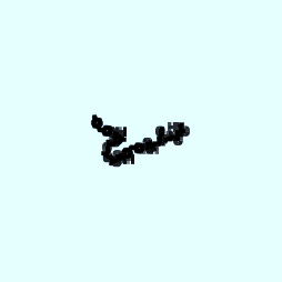 CNC(=O)C(C)(C)C(=O)NCCCN(CCOC)CCOC(=O)Nc1ccc(Cc2ccc(NC(=O)OC(C)COC(C)COC(C)COCC(C)OC(=O)Nc3ccc(Cc4ccc(C)cc4)cc3)cc2)cc1